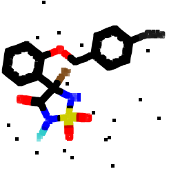 COc1ccc(COc2ccccc2C2(Br)NS(=O)(=O)N(F)C2=O)cc1